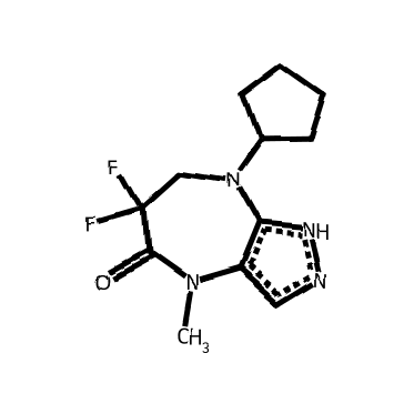 CN1C(=O)C(F)(F)CN(C2CCCC2)c2[nH]ncc21